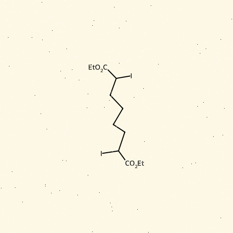 CCOC(=O)C(I)CCCCC(I)C(=O)OCC